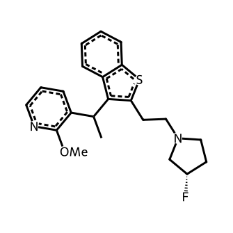 COc1ncccc1C(C)c1c(CCN2CC[C@H](F)C2)sc2ccccc12